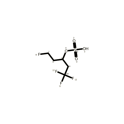 O=S(=O)(O)OC(CCF)CC(F)(F)F